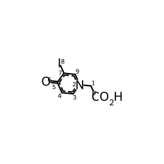 O=C(O)Cn1ccc(=O)c(I)c1